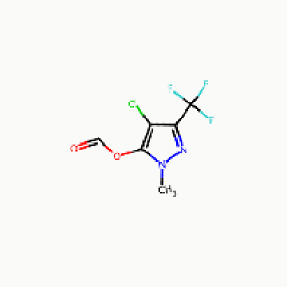 Cn1nc(C(F)(F)F)c(Cl)c1OC=O